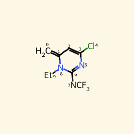 C=C1C=C(Cl)N=C(NC(F)(F)F)N1CC